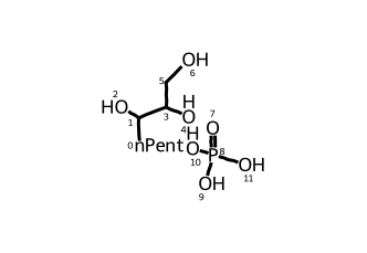 CCCCCC(O)C(O)CO.O=P(O)(O)O